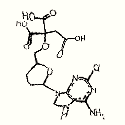 Nc1nc(Cl)nc2c1NCN2C1CCC(COC(CC(=O)O)(C(=O)O)C(=O)O)O1